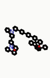 c1ccc(-c2ccccc2-c2ccccc2C2(c3cccc(-c4ccc(-c5ccc(-c6cccc(-n7c8ccccc8c8cc(-c9ccc%10c(c9)c9ccccc9n%10-c9ccccc9-c9ccccc9)ccc87)c6)cc5)cc4)c3)c3ccccc3-c3ccccc32)cc1